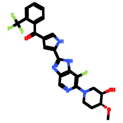 CO[C@@H]1CCN(c2ncc3nc(-c4cc(C(=O)c5ccccc5C(F)(F)F)c[nH]4)[nH]c3c2F)C[C@H]1O